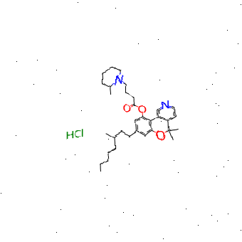 CCCCCC(C)CCc1cc(OC(=O)CCCN2CCCCC2C)c2c(c1)OC(C)(C)c1ccncc1-2.Cl